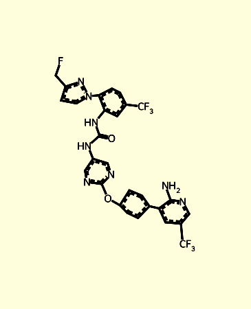 Nc1ncc(C(F)(F)F)cc1-c1ccc(Oc2ncc(NC(=O)Nc3cc(C(F)(F)F)ccc3-n3ccc(CF)n3)cn2)cc1